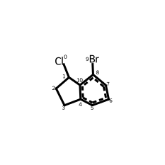 ClC1CCc2cccc(Br)c21